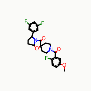 COc1ccc(F)c(C(=O)N2CCC3(CC2)OC2CCC(c4cc(F)cc(F)c4)N2C3=O)c1